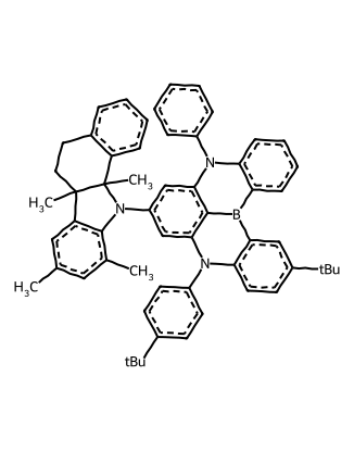 Cc1cc(C)c2c(c1)C1(C)CCc3ccccc3C1(C)N2c1cc2c3c(c1)N(c1ccc(C(C)(C)C)cc1)c1ccc(C(C)(C)C)cc1B3c1ccccc1N2c1ccccc1